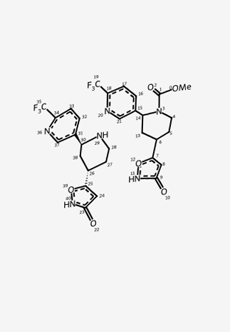 COC(=O)N1CCC(c2cc(=O)[nH]o2)CC1c1ccc(C(F)(F)F)nc1.O=c1cc([C@H]2CCN[C@H](c3ccc(C(F)(F)F)nc3)C2)o[nH]1